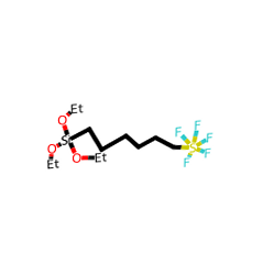 CCO[Si](CCCCCCS(F)(F)(F)(F)F)(OCC)OCC